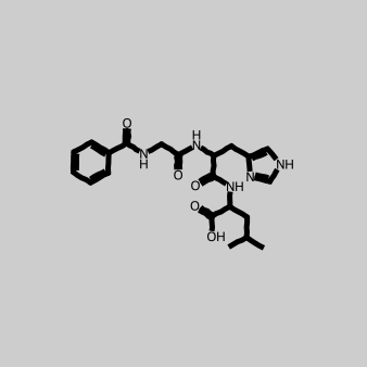 CC(C)CC(NC(=O)C(Cc1c[nH]cn1)NC(=O)CNC(=O)c1ccccc1)C(=O)O